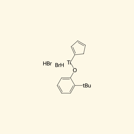 Br.Br.CC(C)(C)c1ccccc1[O][Ti][C]1=CC=CC1